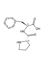 O=C(O)[C@H](Cc1ccccc1)NC(=O)[C@@H]1CCCN1